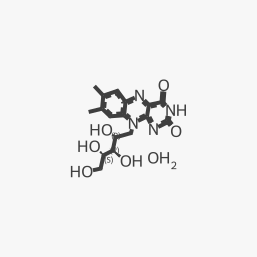 Cc1cc2nc3c(=O)[nH]c(=O)nc-3n(C[C@@H](O)[C@@H](O)[C@@H](O)CO)c2cc1C.O